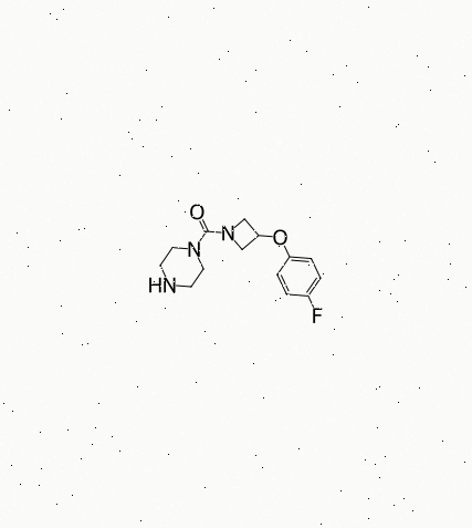 O=C(N1CCNCC1)N1CC(Oc2ccc(F)cc2)C1